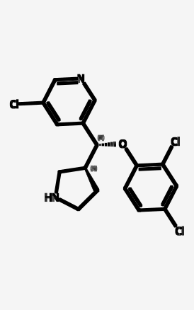 Clc1cncc([C@H](Oc2ccc(Cl)cc2Cl)[C@H]2CCNC2)c1